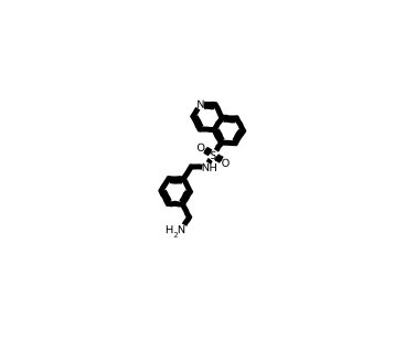 NCc1cccc(CNS(=O)(=O)c2cccc3cnccc23)c1